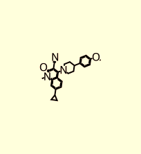 COc1ccc(C2CCN(c3c(C#N)c(=O)n(C)c4cc(C5CC5)ccc34)CC2)cc1